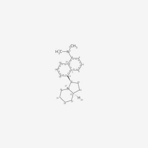 CN(C)c1cccc2c([C@H]3CC[C@H]4CCCCN43)cccc12